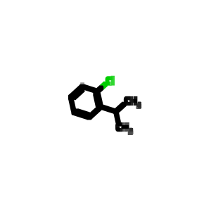 CC(C)c1ccc[c]c1Cl